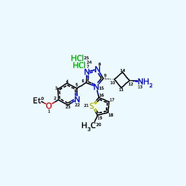 CCOc1ccc(-c2nnc([C@H]3C[C@H](N)C3)n2-c2ccc(C)s2)nc1.Cl.Cl